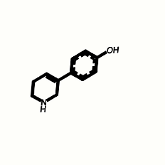 Oc1ccc(C2=CCCNC2)cc1